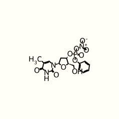 Cc1cn([C@H]2C[C@H](OP(=O)(Oc3ccccc3)O[N+](=O)[O-])[C@@H](CO)O2)c(=O)[nH]c1=O